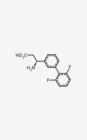 N[C@@H](CC(=O)O)c1cccc(-c2c(F)cccc2F)c1